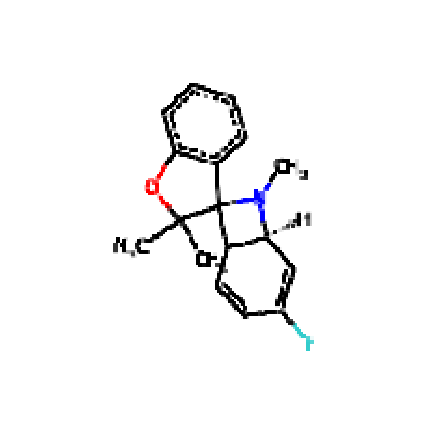 CN1[C@H]2C=C(F)C=CC2C12c1ccccc1OC2(C)C